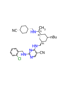 CCCCC1C[C@@H](CNc2nc(NCc3ccccc3Cl)ncc2C#N)C[C@H]([C@H](C)NC[C@H]2CC[C@@H](C#N)CC2)C1